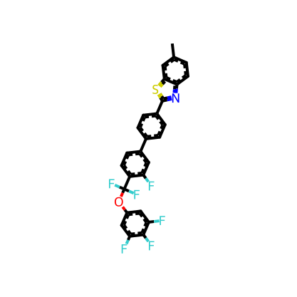 Cc1ccc2nc(-c3ccc(-c4ccc(C(F)(F)Oc5cc(F)c(F)c(F)c5)c(F)c4)cc3)sc2c1